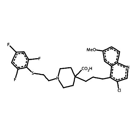 COc1ccc2ncc(Cl)c(CCCC3(C(=O)O)CCN(CCSc4c(F)cc(F)cc4F)CC3)c2c1